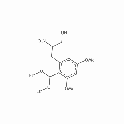 CCOC(OCC)c1c(CC(CO)[N+](=O)[O-])cc(OC)cc1OC